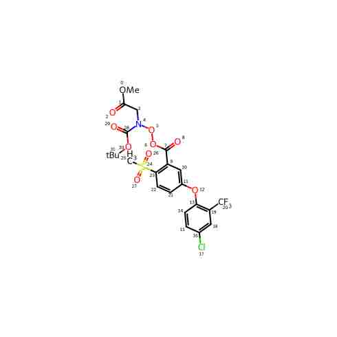 COC(=O)CN(OOC(=O)c1cc(Oc2ccc(Cl)cc2C(F)(F)F)ccc1S(C)(=O)=O)C(=O)OC(C)(C)C